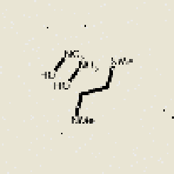 CNCCNC.O=[N+]([O-])O.O=[N+]([O-])O